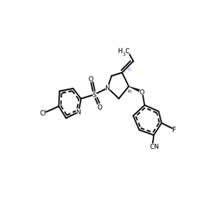 C/C=C1\CN(S(=O)(=O)c2ccc(Cl)cn2)C[C@@H]1Oc1ccc(C#N)c(F)c1